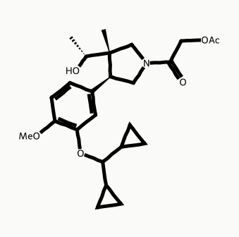 COc1ccc([C@@H]2CN(C(=O)COC(C)=O)C[C@@]2(C)[C@@H](C)O)cc1OC(C1CC1)C1CC1